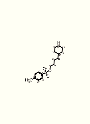 Cc1ccc(S(=O)(=O)OCCCCC2CCNCC2)cc1